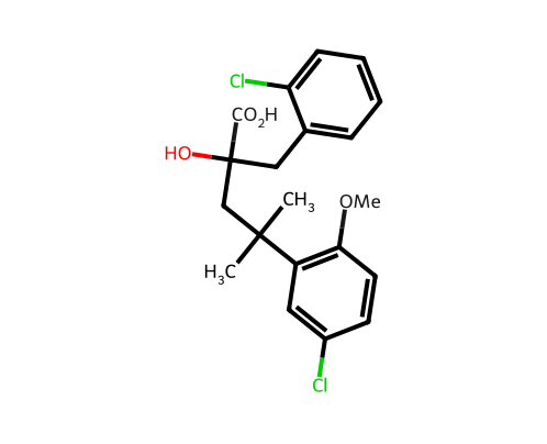 COc1ccc(Cl)cc1C(C)(C)CC(O)(Cc1ccccc1Cl)C(=O)O